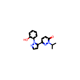 CC(C)n1nc(-c2ccnn2-c2ccccc2O)ccc1=O